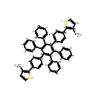 Cc1ccsc1-c1ccc(-c2c(-c3ccccc3)c(-c3ccccc3)c(-c3ccc(-c4sccc4C)cc3)c(-c3ccccc3)c2-c2ccccc2)cc1